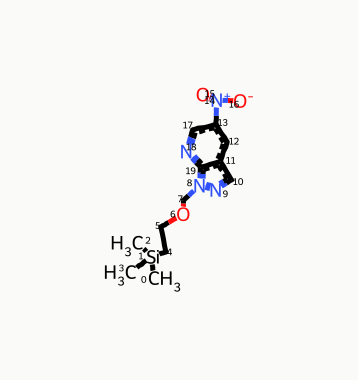 C[Si](C)(C)CCOCn1ncc2cc([N+](=O)[O-])cnc21